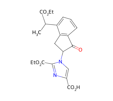 CCOC(=O)c1nc(C(=O)O)cn1C1Cc2c(cccc2C(C)C(=O)OCC)C1=O